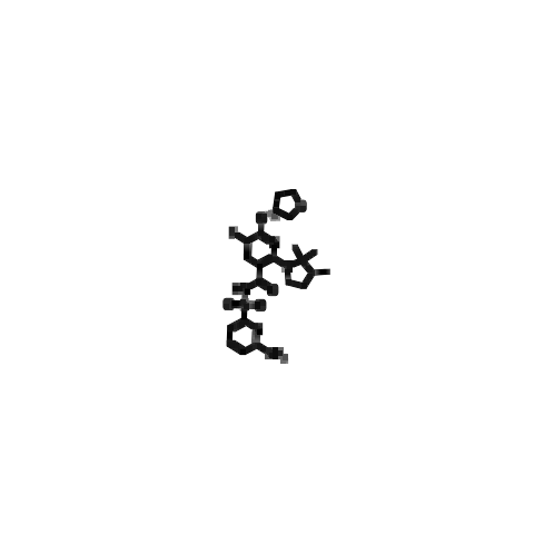 CC1CCN(c2nc(O[C@@H]3CCOC3)c(F)cc2C(=O)NS(=O)(=O)c2cccc(N)n2)C1(C)C